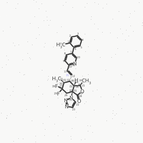 Cc1ccccc1-c1ccc(/C=C/[C@@H]2[C@@H]3[C@@H](C)OC(=O)[C@]3(n3ccnn3)CC(F)(F)[C@H]2C)nc1